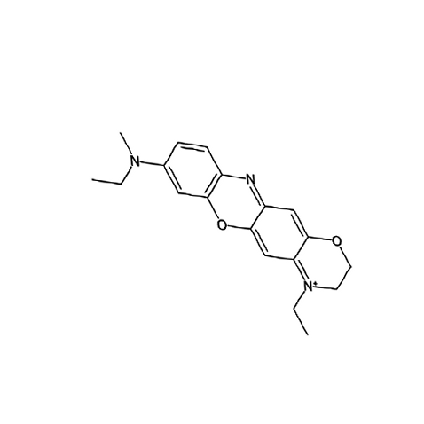 CCN(C)c1ccc2c(c1)Oc1cc3c(cc1=N2)OCC[N+]=3CC